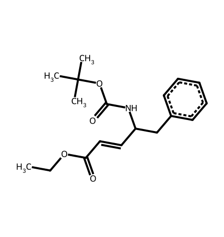 CCOC(=O)/C=C/C(Cc1ccccc1)NC(=O)OC(C)(C)C